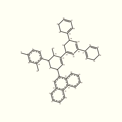 Cc1ccc(C2CC(c3cc4ccccc4c4ccccc34)C=C(C3=NC(C4=CCCC=C4)=NC(C4=CC=CCC4)C3)C2C)c(C)c1